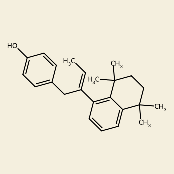 CC=C(Cc1ccc(O)cc1)c1cccc2c1C(C)(C)CCC2(C)C